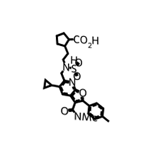 CNC(=O)c1c(-c2ccc(C)cc2)oc2nc(CN(CCC3CCCC3C(=O)O)[SH](=O)=O)c(C3CC3)cc12